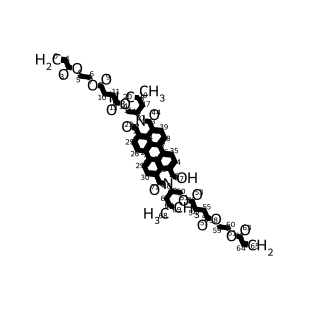 C=CC(=O)OCCOC(=O)CCC(=O)OCC(CC(C)C)N1C(=O)c2ccc3c4ccc5c6c(ccc(c7ccc(c2c37)C1=O)c64)C(O)N(C(COC(=O)CCC(=O)OCCOC(=O)C=C)CC(C)C)C5=O